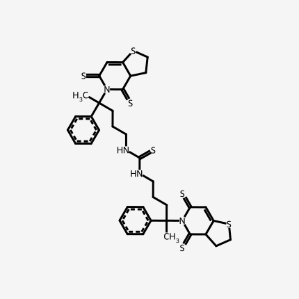 CC(CCCNC(=S)NCCCC(C)(c1ccccc1)N1C(=S)C=C2SCCC2C1=S)(c1ccccc1)N1C(=S)C=C2SCCC2C1=S